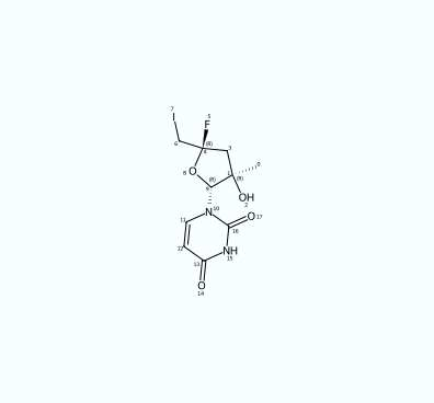 C[C@@]1(O)C[C@@](F)(CI)O[C@H]1n1ccc(=O)[nH]c1=O